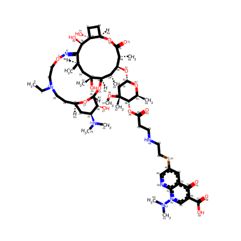 CCN1CCO/N=C2\[C@H](C)C[C@@](C)(O)[C@H](O[C@@H]3O[C@H](CC1)C[C@H](N(C)C)[C@H]3O)[C@@H](C)[C@H](O[C@H]1C[C@@](C)(OC)[C@@H](OC(=O)CCNCCSc3cnc4c(c3)c(=O)c(C(=O)O)cn4N(C)C)[C@H](C)O1)[C@@H](C)C(=O)O[C@@H]1CC[C@]1(O)[C@@H]2O